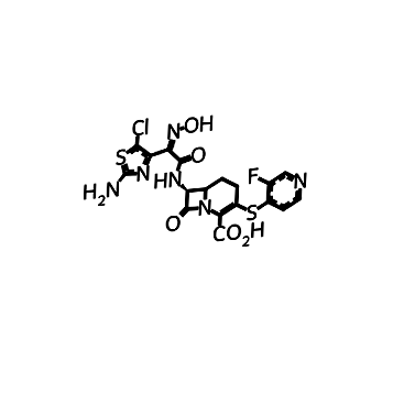 Nc1nc(/C(=N/O)C(=O)N[C@@H]2C(=O)N3C(C(=O)O)=C(Sc4ccncc4F)CCC23)c(Cl)s1